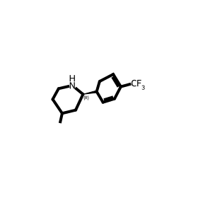 CC1CCN[C@@H](C2C=CC(C(F)(F)F)=CC2)C1